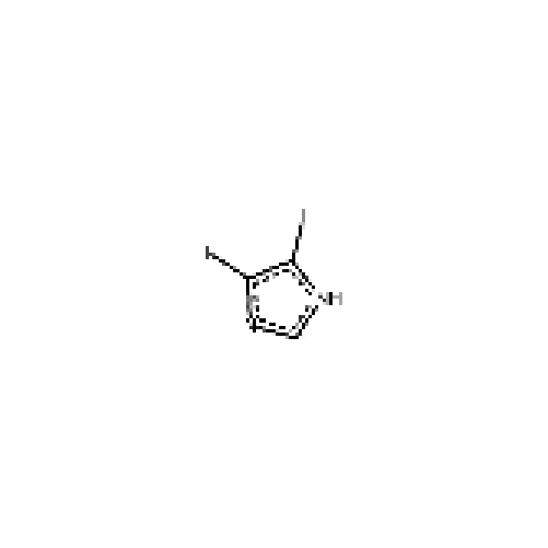 Ic1n[c][nH]c1I